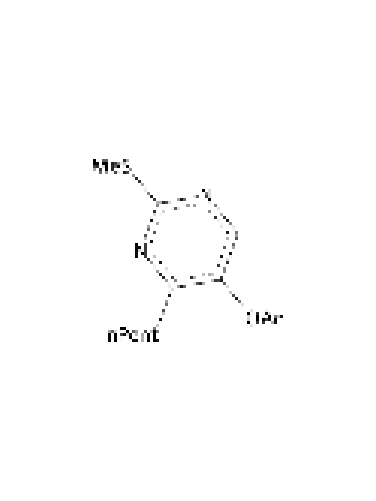 CCCCCc1nc(SC)ncc1OC(C)=O